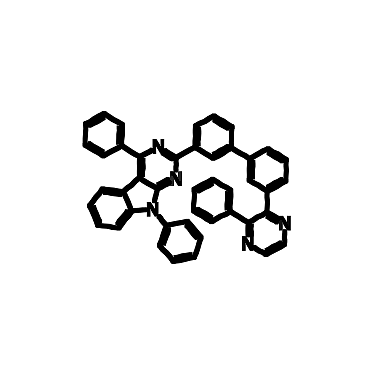 c1ccc(-c2nccnc2-c2cccc(-c3cccc(-c4nc(-c5ccccc5)c5c6ccccc6n(-c6ccccc6)c5n4)c3)c2)cc1